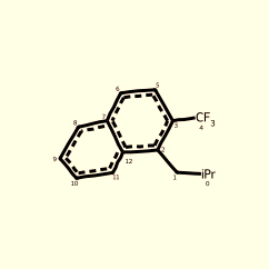 CC(C)Cc1c(C(F)(F)F)ccc2ccccc12